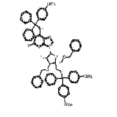 COc1ccc(C(Nc2nc(F)nc3c2ncn3[C@@H]2O[C@@](COCc3ccccc3)(COC(c3ccccc3)(c3ccc(OC)cc3)c3ccc(OC)cc3)[C@@H](OCc3ccccc3)[C@@H]2F)(c2ccccc2)c2ccccc2)cc1